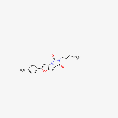 CCOC(=O)CCCN1C(=O)c2cc3oc(-c4ccc([N+](=O)[O-])cc4)cc3n2C1=O